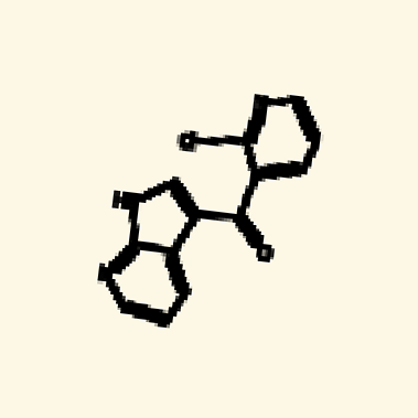 O=C(c1cccnc1Cl)c1c[nH]c2ncccc12